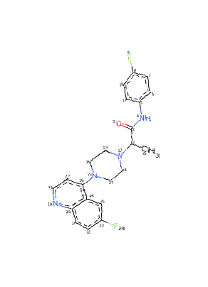 CC(C(=O)Nc1ccc(F)cc1)N1CCN(c2ccnc3ccc(F)cc23)CC1